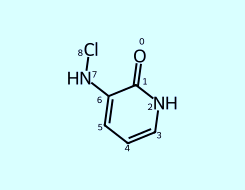 O=c1[nH]cccc1NCl